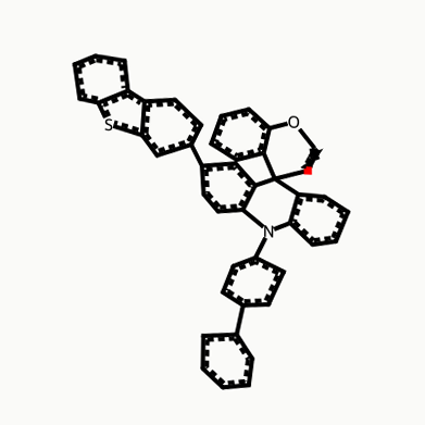 c1ccc(-c2ccc(N3c4ccccc4C4(c5ccccc5Oc5ccccc54)c4cc(-c5ccc6c(c5)sc5ccccc56)ccc43)cc2)cc1